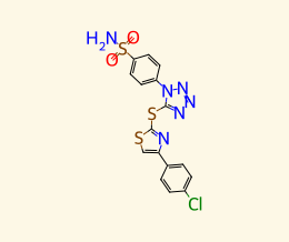 NS(=O)(=O)c1ccc(-n2nnnc2Sc2nc(-c3ccc(Cl)cc3)cs2)cc1